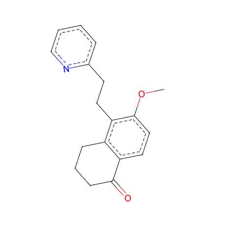 COc1ccc2c(c1CCc1ccccn1)CCCC2=O